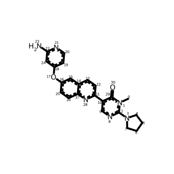 Cn1c(N2CCCC2)ncc(-c2ccc3cc(Oc4ccnc(N)c4)ccc3n2)c1=O